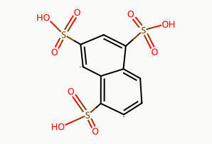 O=S(=O)(O)c1[c]c2c(S(=O)(=O)O)[c]ccc2c(S(=O)(=O)O)c1